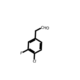 O=CCc1ccc(Cl)c(F)c1